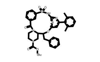 Cc1cccc(C)c1-c1cc2nc(n1)NS(=O)(=O)c1cccc(c1)C(=O)N1CCN(C(=O)OC(C)(C)C)CC1C(Cc1ccccc1)O2